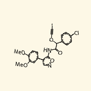 CC#COC(C(=O)Nc1oncc1-c1ccc(OC)c(OC)c1)c1ccc(Cl)cc1